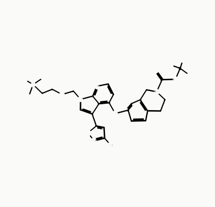 CC(C)(C)OC(=O)N1CCc2ccc(Oc3ccnc4c3c(-c3cc(N)no3)cn4COCCS(C)(C)C)cc2C1